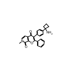 Cn1ccc2c(=O)c(-c3ccc(C4(N)CCC4)cc3)c(-c3ccccc3)oc2c1=O